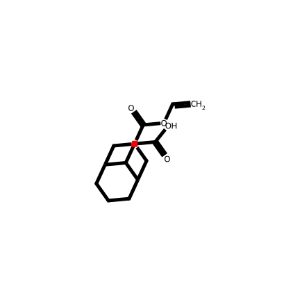 C=COC(=O)N1CC2CCCC(C1)C2CC(=O)O